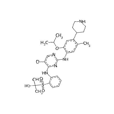 Cc1cc(Nc2ncc(Cl)c(Nc3ccccc3S(=O)(=O)C(C)(C)O)n2)c(OC(C)C)cc1C1CCNCC1